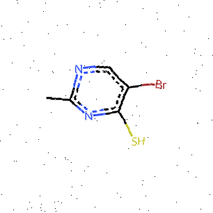 Cc1ncc(Br)c(S)n1